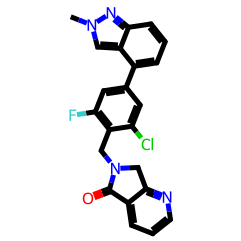 Cn1cc2c(-c3cc(F)c(CN4Cc5ncccc5C4=O)c(Cl)c3)cccc2n1